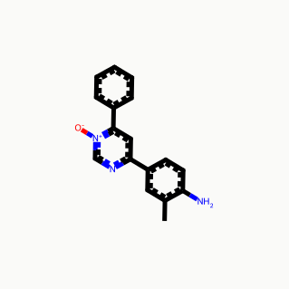 Cc1cc(-c2cc(-c3ccccc3)[n+]([O-])cn2)ccc1N